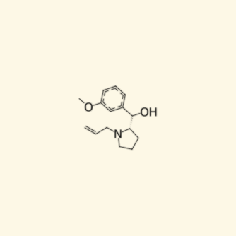 C=CCN1CCC[C@H]1C(O)c1cccc(OC)c1